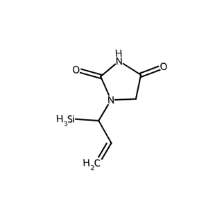 C=CC([SiH3])N1CC(=O)NC1=O